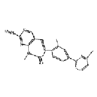 CNc1ncc2cc(-c3ccc(-c4cccc(C)n4)cc3C)c(=O)n(C)c2n1